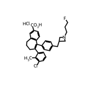 Cc1c(Cl)cccc1C1=C(c2ccc(CC3CN(CCCF)C3)cc2)c2ccc(C(=O)O)cc2CCC1.Cl